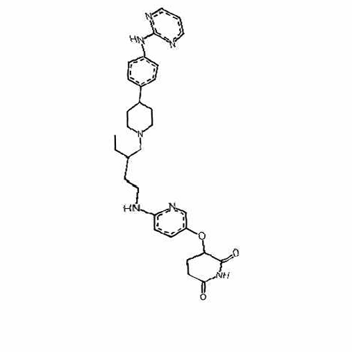 CCC(CCNc1ccc(OC2CCC(=O)NC2=O)cn1)CN1CCC(c2ccc(Nc3ncccn3)cc2)CC1